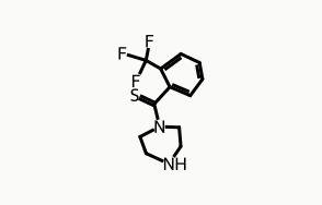 FC(F)(F)c1ccccc1C(=S)N1CCNCC1